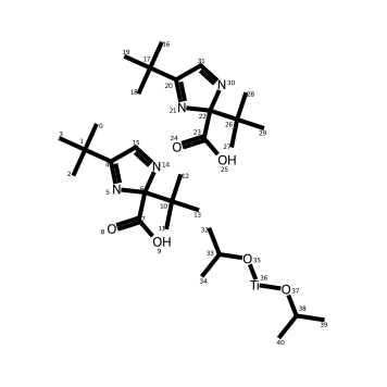 CC(C)(C)C1=NC(C(=O)O)(C(C)(C)C)N=C1.CC(C)(C)C1=NC(C(=O)O)(C(C)(C)C)N=C1.CC(C)[O][Ti][O]C(C)C